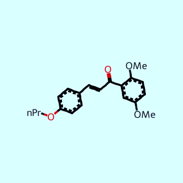 CCCOc1ccc(/C=C/C(=O)c2cc(OC)ccc2OC)cc1